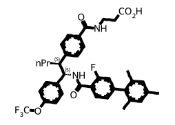 CCC[C@@H](c1ccc(C(=O)NCCC(=O)O)cc1)[C@H](NC(=O)c1ccc(-c2c(C)cc(C)cc2C)cc1F)c1ccc(OC(F)(F)F)cc1